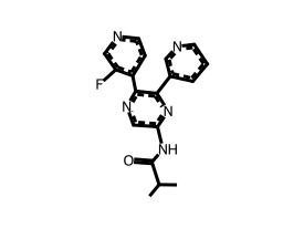 CC(C)C(=O)Nc1cnc(-c2ccncc2F)c(-c2cccnc2)n1